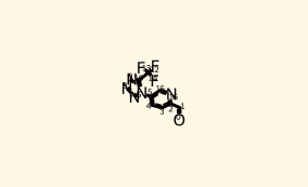 O=Cc1ccc(-n2nnnc2C(F)(F)F)cn1